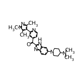 Cc1nn(C)c(C)c1-c1cc(C(=O)c2nc3ccc(N4CCC(N(C)C)CC4)cc3[nH]2)ccn1